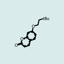 CC(C)(C)CCOc1ccc2ccc(=O)oc2c1